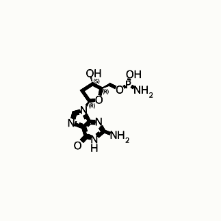 Nc1nc2c(ncn2[C@H]2C[C@H](O)[C@@H](COP(N)O)O2)c(=O)[nH]1